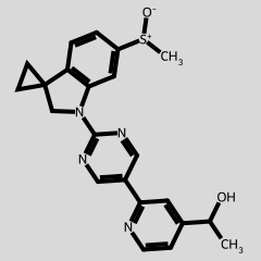 CC(O)c1ccnc(-c2cnc(N3CC4(CC4)c4ccc([S+](C)[O-])cc43)nc2)c1